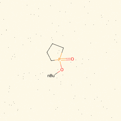 CCCCOP1(=O)CCCC1